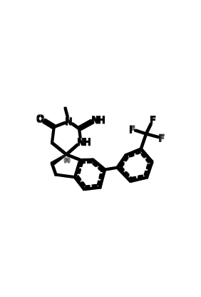 CN1C(=N)N[C@@]2(CCc3ccc(-c4cccc(C(F)(F)F)c4)cc32)CC1=O